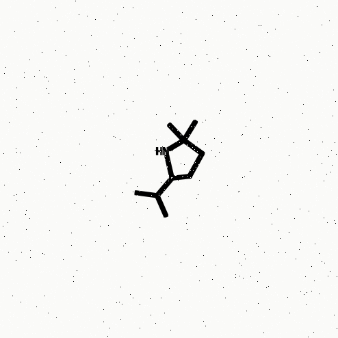 CC(C)C1CCC(C)(C)N1